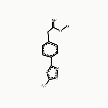 CCOC(=N)Cc1ccc(-c2noc(C(F)(F)F)n2)cc1